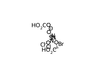 O=C(O)c1cccc(Oc2cccc(-c3nn(Cc4ccc(C5CC5C(=O)O)c(Br)c4)c(=Nc4ccc(Cl)c(Cl)c4)s3)c2)c1